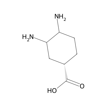 NC1CC[C@H](C(=O)O)CC1N